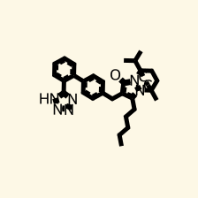 CCCCCc1c(Cc2ccc(-c3ccccc3-c3nnn[nH]3)cc2)c(=O)n2n1C1(C)CCC2(C(C)C)CC1